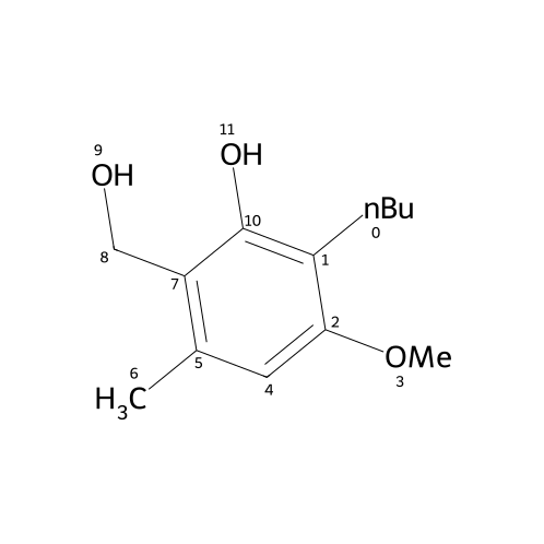 CCCCc1c(OC)cc(C)c(CO)c1O